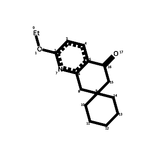 CCOc1ccc2c(n1)CC1(CCCCC1)CC2=O